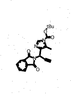 C#CC(c1ncn(C(=O)OC(C)(C)C)c1C)N1C(=O)c2ccccc2C1=O